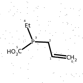 C=CCP(CC)C(=O)O